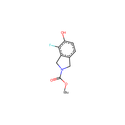 CC(C)(C)OC(=O)N1Cc2ccc(O)c(F)c2C1